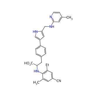 CCc1cc(C#N)cc(C)c1NC(Cc1ccc(-c2c[nH]c(CNc3cc(C)ccn3)c2)cc1)C(=O)O